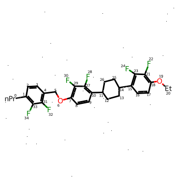 CCCc1ccc(COc2ccc(C3CCC(c4ccc(OCC)c(F)c4F)CC3)c(F)c2F)c(F)c1F